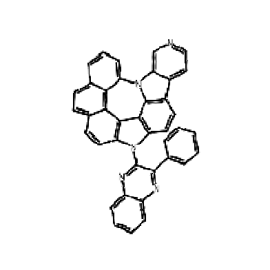 c1ccc(-c2nc3ccccc3nc2-n2c3ccc4ccc5cccc6c5c4c3c3c2ccc2c4ccncc4n6c23)cc1